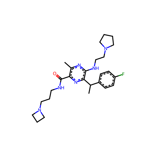 Cc1nc(NCCN2CCCC2)c(C(C)c2ccc(F)cc2)nc1C(=O)NCCCN1CCC1